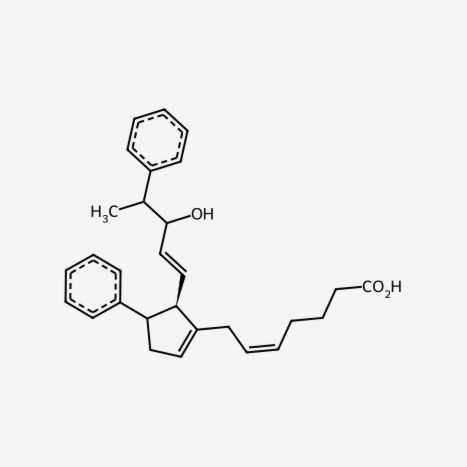 CC(c1ccccc1)C(O)/C=C/[C@H]1C(C/C=C\CCCC(=O)O)=CCC1c1ccccc1